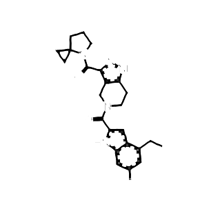 CCc1cc(F)cc2[nH]c(C(=O)N3CCc4[nH]nc(C(=O)N5CCCC56CC6)c4C3)cc12